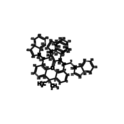 CC1(C)c2cccc(P(Cn3ccc4ccccc43)n3ccc4ccccc43)c2Oc2c(P(Cn3ccc4ccccc43)n3ccc4ccccc43)cccc21